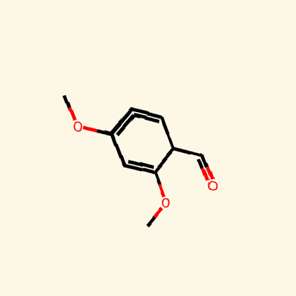 COC1=C=CC(C=O)C(OC)=C1